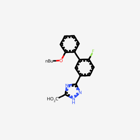 CCCCOc1ccccc1-c1cc(-c2n[nH]c(C(=O)O)n2)ccc1F